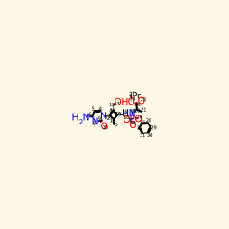 C=C1[C@@H](n2ccc(N)nc2=O)[C@H](CO)[C@H]1COP(=O)(NC(C)C(=O)OC(C)C)Oc1ccccc1